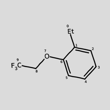 [CH2]Cc1ccccc1OCC(F)(F)F